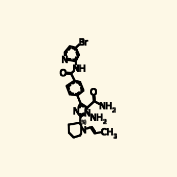 CC=CN1CCCC[C@H]1c1nc(-c2ccc(C(=O)Nc3cc(Br)ccn3)cc2)c(C(N)=O)n1N